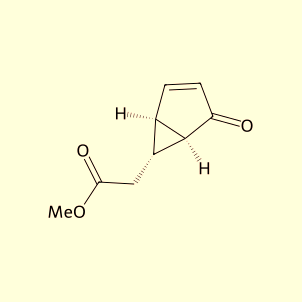 COC(=O)C[C@@H]1[C@H]2C=CC(=O)[C@H]21